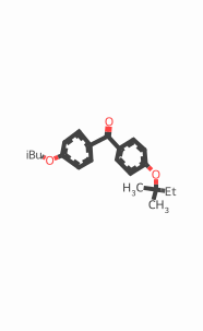 CCC(C)Oc1ccc(C(=O)c2ccc(OC(C)(C)CC)cc2)cc1